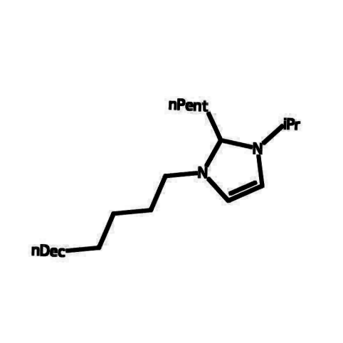 CCCCCCCCCCCCCCN1C=CN(C(C)C)C1CCCCC